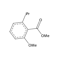 COC(=O)c1c(OC)cccc1C(C)C